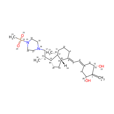 C=C1[C@H](O)CC(=CC=C2CCC[C@]3(C)[C@@H]([C@H](C)CN4CCN(S(C)(=O)=O)CC4)CC[C@@H]23)C[C@@H]1O